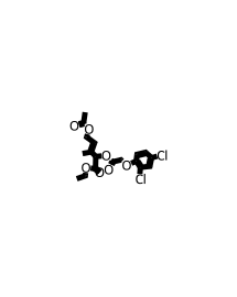 CCOC(=O)C(OC(=O)COc1ccc(Cl)cc1Cl)C(C)=CCOC(C)=O